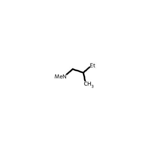 [CH2-][NH2+]CC(C)CC